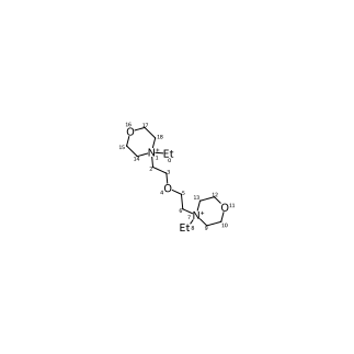 CC[N+]1(CCOCC[N+]2(CC)CCOCC2)CCOCC1